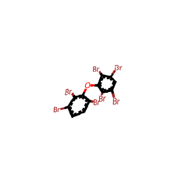 Brc1ccc(Br)c(Oc2c(Br)c(Br)cc(Br)c2Br)c1Br